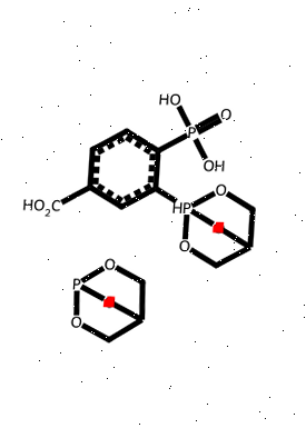 C1OP2OCC1CO2.O=C(O)c1ccc(P(=O)(O)O)c([PH]23OCC(CO2)CO3)c1